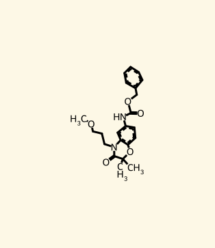 COCCCN1C(=O)C(C)(C)Oc2ccc(NC(=O)OCc3ccccc3)cc21